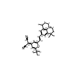 CC1CCN2CCC(C)(C)c3cc(/C=C/C4=CC(=C(C#N)C#N)C=C(C(C)(C)C)O4)cc1c32